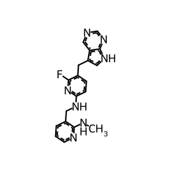 CNc1ncccc1CNc1ccc(Cc2c[nH]c3ncncc23)c(F)n1